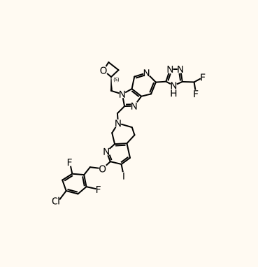 Fc1cc(Cl)cc(F)c1COc1nc2c(cc1I)CCN(Cc1nc3cc(-c4nnc(C(F)F)[nH]4)ncc3n1C[C@@H]1CCO1)C2